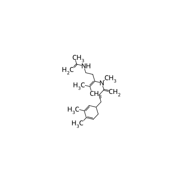 C=C(C)NCCC(=C(C)C)N(C)C(=C)CCC1C=C(C)C(C)=CC1